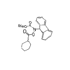 COC(=O)N(OC(=O)C1CCCCC1)C1c2ccccc2-c2ccccc21